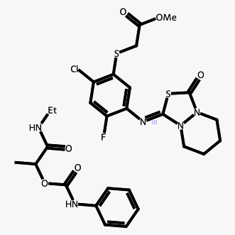 CCNC(=O)C(C)OC(=O)Nc1ccccc1.COC(=O)CSc1cc(/N=c2\sc(=O)n3n2CCCC3)c(F)cc1Cl